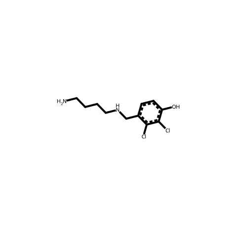 NCCCCNCc1ccc(O)c(Cl)c1Cl